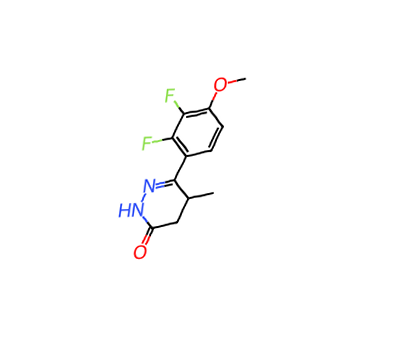 COc1ccc(C2=NNC(=O)CC2C)c(F)c1F